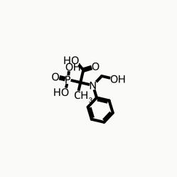 CC(C(=O)O)(N(CO)c1ccccc1)P(=O)(O)O